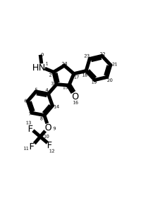 CNC1=C(c2cccc(OC(F)(F)F)c2)C(=O)C(c2ccccc2)C1